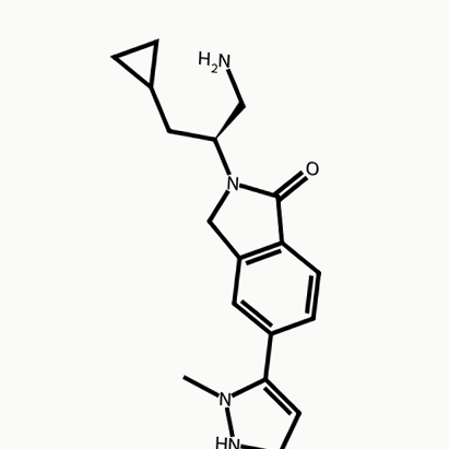 CN1NCC=C1c1ccc2c(c1)CN([C@H](CN)CC1CC1)C2=O